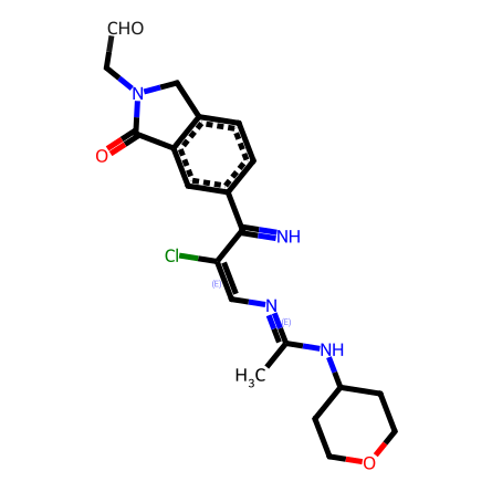 C/C(=N\C=C(\Cl)C(=N)c1ccc2c(c1)C(=O)N(CC=O)C2)NC1CCOCC1